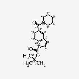 CC(C)(C)OC(=O)n1ccc2cc(C(=O)N3CCCCC3)ccc21